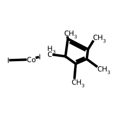 C[C]1C(C)=C(C)C(C)=C1C.[I][Co][I]